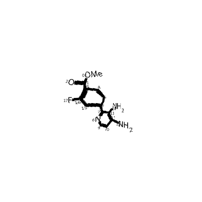 COC(=O)c1ccc(-c2nccc(N)c2N)cc1F